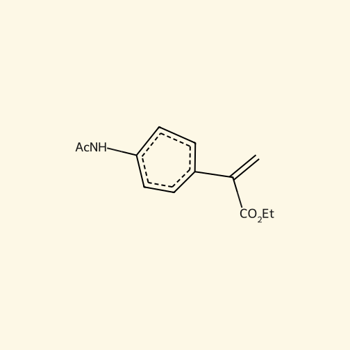 C=C(C(=O)OCC)c1ccc(NC(C)=O)cc1